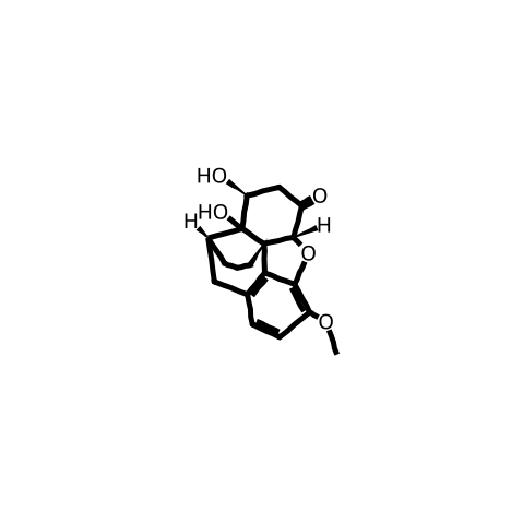 COc1ccc2c3c1O[C@H]1C(=O)C[C@H](O)C4(O)[C@H](CCC[C@]314)C2